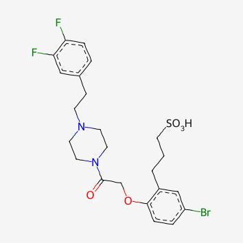 O=C(COc1ccc(Br)cc1CCCS(=O)(=O)O)N1CCN(CCc2ccc(F)c(F)c2)CC1